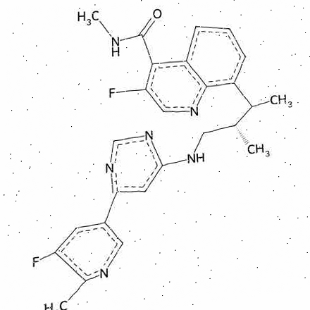 CNC(=O)c1c(F)cnc2c(C(C)[C@H](C)CNc3cc(-c4cnc(C)c(F)c4)ncn3)cccc12